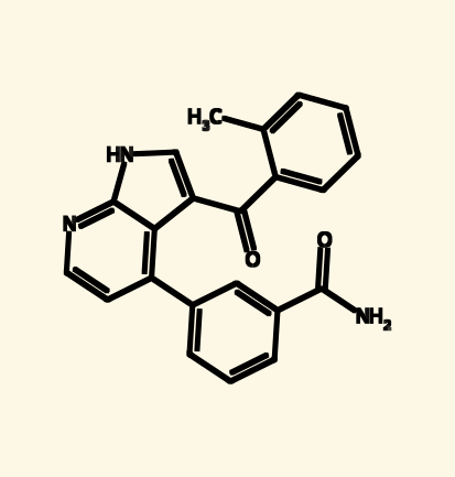 Cc1ccccc1C(=O)c1c[nH]c2nccc(-c3cccc(C(N)=O)c3)c12